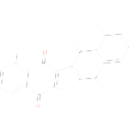 O=c1c2cccc(Cl)c2c(=O)c2c1sc1c(=O)c3cccc(Cl)c3c(=O)c12